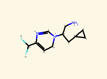 NCC(CC1CC1)N1C=NC(C(F)F)=CC1